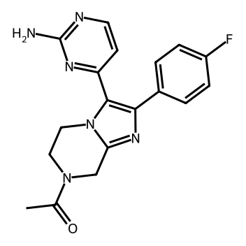 CC(=O)N1CCn2c(nc(-c3ccc(F)cc3)c2-c2ccnc(N)n2)C1